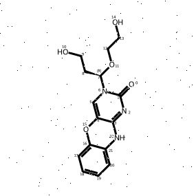 O=c1nc2c(cn1[C@@H](CCO)OCCO)Oc1ccccc1N2